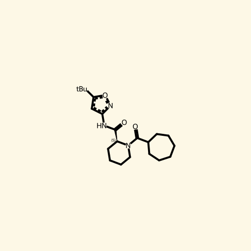 CC(C)(C)c1cc(NC(=O)[C@@H]2CCCCN2C(=O)C2CCCCCC2)no1